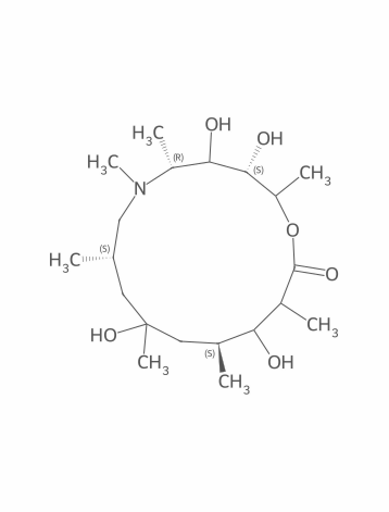 CC1C(=O)OC(C)[C@@H](O)C(O)[C@@H](C)N(C)C[C@@H](C)CC(C)(O)C[C@H](C)C1O